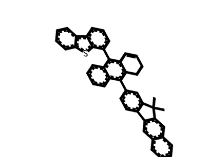 CC1(C)c2cc(-c3c4c(c(-c5cccc6c5sc5ccccc56)c5ccccc35)C=CCC4)ccc2-c2cc3ccccc3cc21